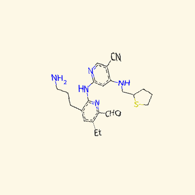 CCc1cc(CCCN)c(Nc2cc(NCC3CCCS3)c(C#N)cn2)nc1C=O